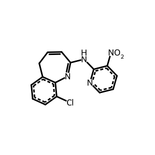 O=[N+]([O-])c1cccnc1NC1=Nc2c(Cl)cccc2CC=C1